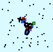 CC(C)(C)c1nc(-c2ccc(C(=O)N3CC4CCC(C3)N4c3nc4nc(Cl)ccc4o3)cc2)no1